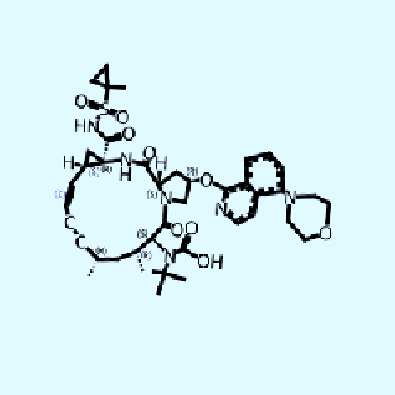 C[C@@H]1CC/C=C\[C@@H]2C[C@@]2(C(=O)NS(=O)(=O)C2(C)CC2)NC(=O)[C@@H]2C[C@@H](Oc3nccc4c(N5CCOCC5)cccc34)CN2C(=O)[C@@H](N(C(=O)O)C(C)(C)C)[C@H](C)C1